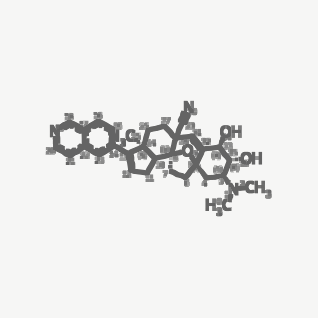 CN(C)[C@H]1C[C@@]23CC[C@]4(O2)C2CC=C(c5ccc6cnccc6c5)[C@@]2(C)CCC4(C#N)C=C3[C@@H](O)[C@@H]1O